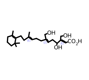 CC1=C(CC/C(C)=C/CC/C(=C/CC(O)/C(=C/C(=O)O)CO)CO)C(C)(C)CCC1